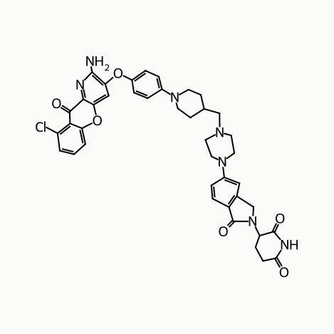 Nc1nc2c(=O)c3c(Cl)cccc3oc2cc1Oc1ccc(N2CCC(CN3CCN(c4ccc5c(c4)CN(C4CCC(=O)NC4=O)C5=O)CC3)CC2)cc1